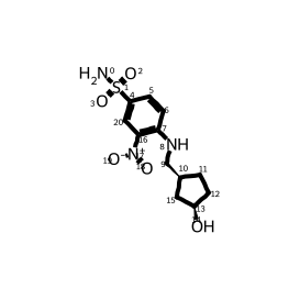 NS(=O)(=O)c1ccc(NC[C@H]2CC[C@@H](O)C2)c([N+](=O)[O-])c1